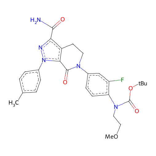 COCCN(C(=O)OC(C)(C)C)c1ccc(N2CCc3c(C(N)=O)nn(-c4ccc(C)cc4)c3C2=O)cc1F